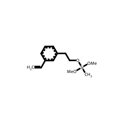 C=Cc1cccc(CCO[Si](C)(OC)OC)c1